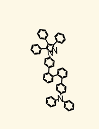 c1ccc(-c2nn(-c3ccc(-c4ccccc4-c4ccccc4-c4ccc(N(c5ccccc5)c5ccccc5)cc4)cc3)c(-c3ccccc3)c2-c2ccccc2)cc1